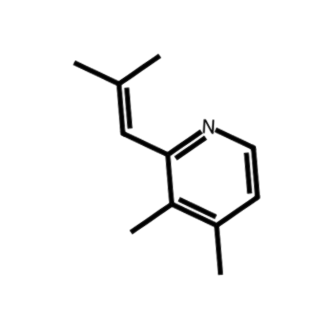 CC(C)=Cc1nccc(C)c1C